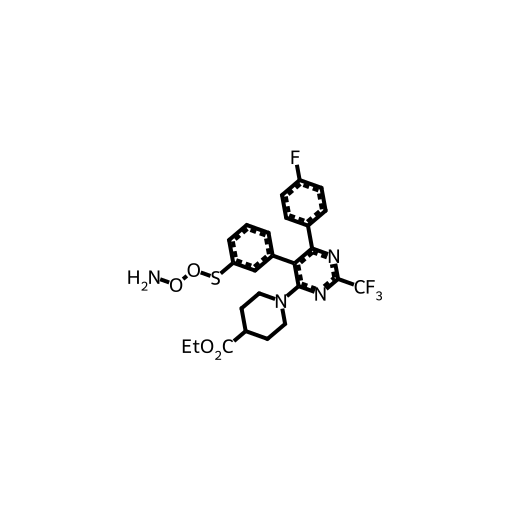 CCOC(=O)C1CCN(c2nc(C(F)(F)F)nc(-c3ccc(F)cc3)c2-c2cccc(SOON)c2)CC1